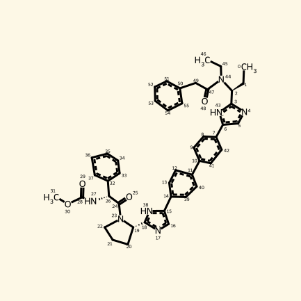 CC[C@@H](c1ncc(-c2ccc(-c3ccc(-c4cnc([C@@H]5CCCN5C(=O)[C@H](NC(=O)OC)c5ccccc5)[nH]4)cc3)cc2)[nH]1)N(CC)C(=O)Cc1ccccc1